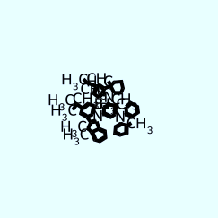 Cc1ccccc1N(c1cc2c3c(c1)-n1c4c(c5cc(C(C)(C)C)cc(c51)B3c1cc(C(C)(C)C)cc3c1N2C1(C)CCCCC31C)C(C)(C)c1ccccc1-4)c1ccccc1C